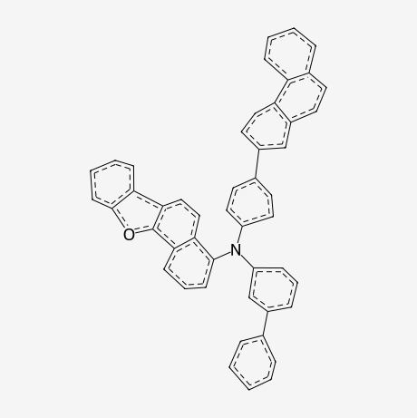 c1ccc(-c2cccc(N(c3ccc(-c4ccc5c(ccc6ccccc65)c4)cc3)c3cccc4c3ccc3c5ccccc5oc43)c2)cc1